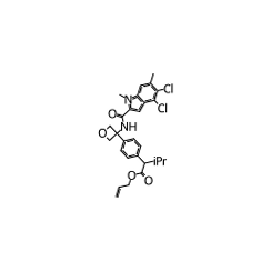 C=CCOC(=O)C(c1ccc(C2(NC(=O)c3cc4c(Cl)c(Cl)c(C)cc4n3C)COC2)cc1)C(C)C